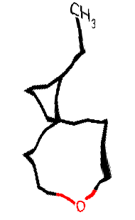 CCC1CC12CCOCC2